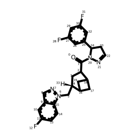 O=C(C1C[C@@H](Cn2ncc3cc(F)ccc32)C2CC1C2)N1N=CCC1c1cc(F)cc(F)c1